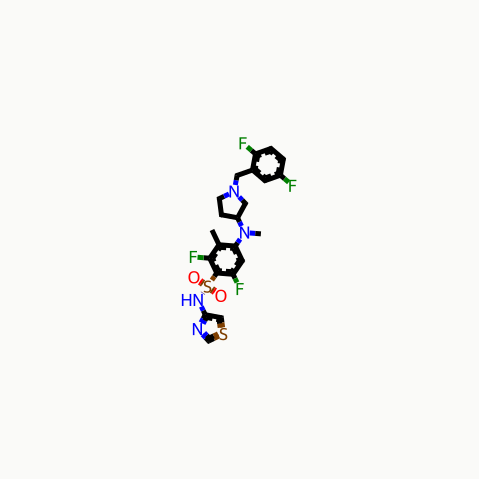 Cc1c(N(C)C2CCN(Cc3cc(F)ccc3F)C2)cc(F)c(S(=O)(=O)Nc2cscn2)c1F